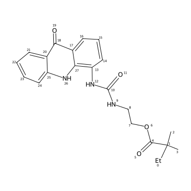 CCC(C)(C)C(=O)OCCNC(=O)Nc1cccc2c(=O)c3ccccc3[nH]c12